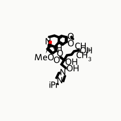 COC1=C[C@]23CCCN2CCc2cc4c(cc2[C@@H]3[C@@H]1OC(=O)[C@@](O)(CCCC(C)(C)O)CC(O)N1CCN(C(C)C)CC1)OCO4